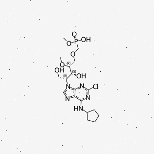 CO[C@H](COCP(=O)(O)OC)[C@@H](O)[C@@H](CO)n1cnc2c(NC3CCCC3)nc(Cl)nc21